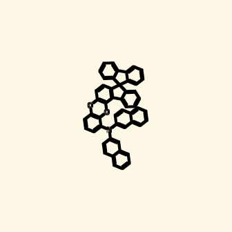 c1ccc2c(c1)-c1ccccc1C21c2ccccc2-c2c1ccc1c2Oc2c(cccc2N(c2ccc3ccccc3c2)c2ccc3ccccc3c2)O1